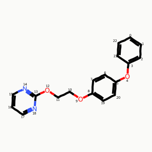 c1ccc(Oc2ccc(OCCOc3ncccn3)cc2)cc1